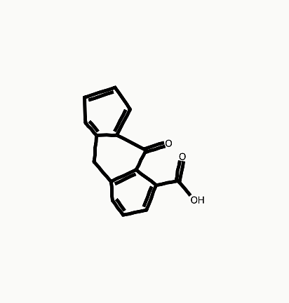 O=C(O)c1cccc2c1C(=O)c1ccccc1C2